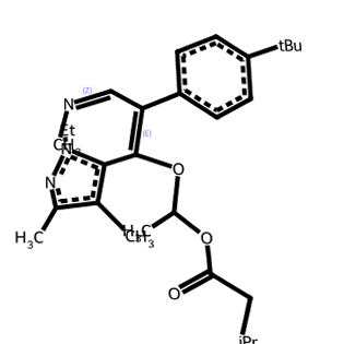 CCn1nc(C)c(C)c1/C(OC(C)OC(=O)CC(C)C)=C(\C=N/C)c1ccc(C(C)(C)C)cc1